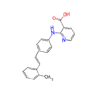 Cc1ccccc1/C=C/c1ccc(Nc2ncccc2C(=O)O)cc1